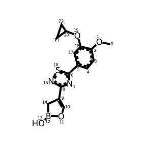 COc1ccc(-c2nc(C3=COB(O)C3)ns2)cc1OC1CC1